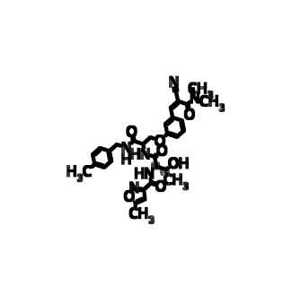 Cc1ccc(CNC(=O)C(COc2cccc(C=C(C#N)C(=O)N(C)C)c2)NC(=O)[C@@H](NC(=O)c2cc(C)on2)[C@@H](C)O)cc1